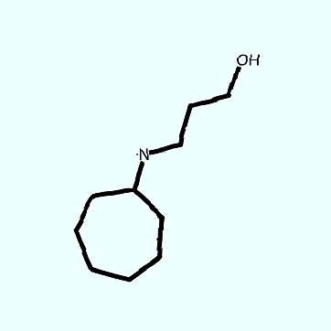 OCCC[N]C1CCCCCC1